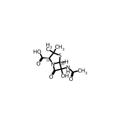 CC(=O)NC1(O)C(=O)N2[C@@H](C(=O)O)C(C)(C)S[C@@H]21